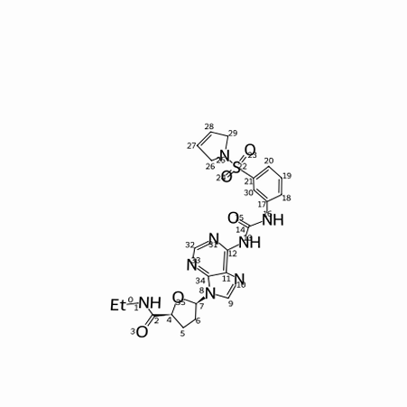 CCNC(=O)[C@@H]1CC[C@H](n2cnc3c(NC(=O)Nc4cccc(S(=O)(=O)N5CC=CC5)c4)ncnc32)O1